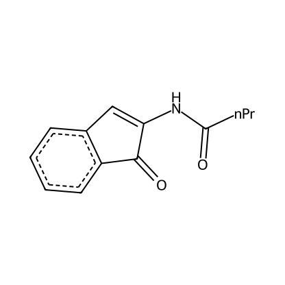 CCCC(=O)NC1=Cc2ccccc2C1=O